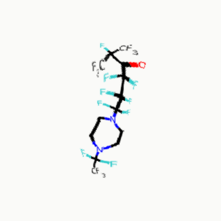 O=C(C(F)(F)C(F)(F)C(F)(F)N1CCN(C(F)(F)C(F)(F)F)CC1)C(F)(C(F)(F)F)C(F)(F)F